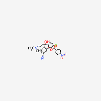 CN(C)CCC[C@](O)(c1ccc(F)cc1)c1ccc(C#N)cc1COC(=O)c1ccc([N+](=O)[O-])cc1